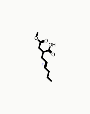 CCC/C=C/CC(CC(=O)OC)C(=O)O